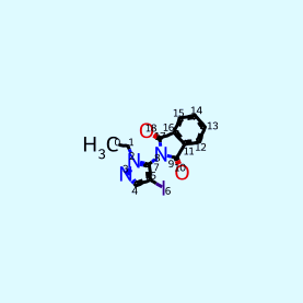 CCn1ncc(I)c1N1C(=O)c2ccccc2C1=O